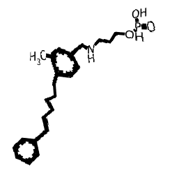 Cc1cc(CNCCCO[PH](=O)O)ccc1CCCCCCc1ccccc1